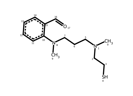 CN(CCS)CCCN(C)c1ccccc1C=O